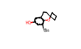 CC(C)(C)c1cc(O)cc2c1OC1(CCC1)CC2